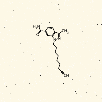 C#CCCCCCCCn1nc(C)c2ccc(C(N)=O)cc21